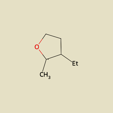 CCC1CCO[C]1C